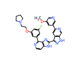 COc1cncc(-c2cc3c(-c4nc5c(-c6cc(F)cc(OCCN7CCCC7)c6)nccc5[nH]4)n[nH]c3cn2)c1